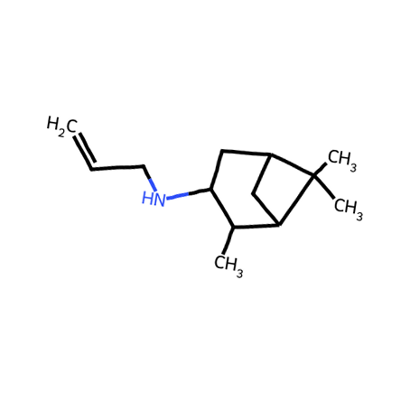 C=CCNC1CC2CC(C1C)C2(C)C